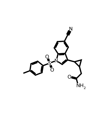 Cc1ccc(S(=O)(=O)n2cc(C3CC3CC(N)=O)c3cc(C#N)ccc32)cc1